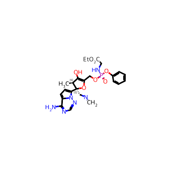 C=NC[C@@]1(c2ccc3c(N)ncnn23)OC(COP(=O)(NCC(=O)OCC)Oc2ccccc2)=C(O)[C@@H]1C